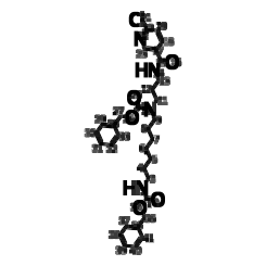 O=C(NCCC[CH]CCCN(CCCNC(=O)c1ccc(Cl)nc1)C(=O)OCc1ccccc1)OCc1ccccc1